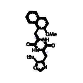 COc1ccc2ccccc2c1/C=c1\[nH]c(=O)/c(=C/c2ncoc2C(C)(C)C)[nH]c1=O